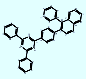 c1ccc(-c2nc(-c3ccccc3)nc(-c3ccc(-c4ccc5ccccc5c4-c4cccnc4)cc3)n2)cc1